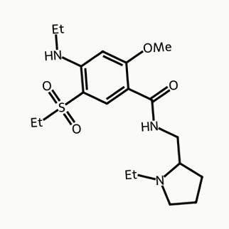 CCNc1cc(OC)c(C(=O)NCC2CCCN2CC)cc1S(=O)(=O)CC